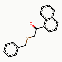 O=C(CSCc1ccccc1)c1cccc2ccccc12